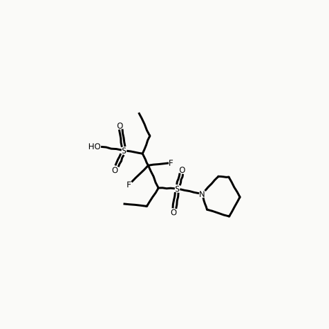 CCC(C(F)(F)C(CC)S(=O)(=O)N1CCCCC1)S(=O)(=O)O